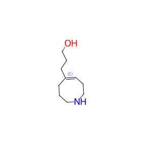 OCCC/C1=C/CCNCCC1